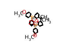 COc1ccc([P@](c2ccccc2)c2cccc3c2Oc2c([P@@](c4ccccc4)c4ccc(OC)cc4)cccc2C3(C)C)cc1